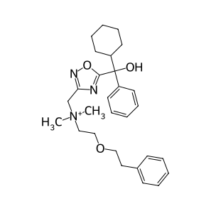 C[N+](C)(CCOCCc1ccccc1)Cc1noc(C(O)(c2ccccc2)C2CCCCC2)n1